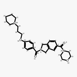 O=C(c1ccc2c(c1)CN(C(=O)c1ccc(OCCCN3CCCCC3)cc1)C2)N1CCOCC1